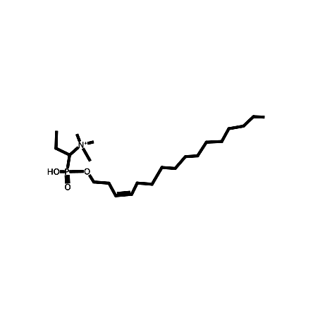 CCCCCCCCCCCC/C=C\CCOP(=O)(O)C(CC)[N+](C)(C)C